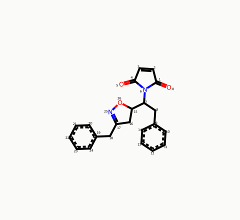 O=C1C=CC(=O)N1C(Cc1ccccc1)C1CC(Cc2ccccc2)=NO1